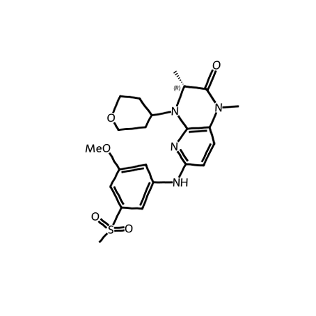 COc1cc(Nc2ccc3c(n2)N(C2CCOCC2)[C@H](C)C(=O)N3C)cc(S(C)(=O)=O)c1